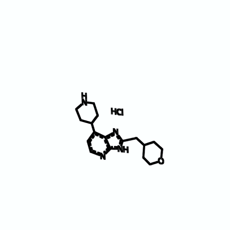 Cl.c1cc(C2CCNCC2)c2nc(CC3CCOCC3)[nH]c2n1